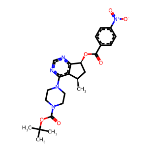 C[C@@H]1C[C@H](OC(=O)c2ccc([N+](=O)[O-])cc2)c2ncnc(N3CCN(C(=O)OC(C)(C)C)CC3)c21